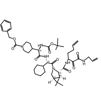 C=CCCC(NC(=O)[C@@H]1[C@@H]2[C@H](CN1C(=O)[C@@H](NC(=O)[C@H](NC(=O)OC(C)(C)C)C1CCN(C(=O)OCc3ccccc3)CC1)C1CCCCC1)C2(C)C)C(=O)C(=O)NCC=C